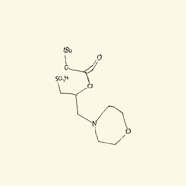 CC(C)(C)OC(=O)OC(CN1CCOCC1)CS(=O)(=O)O